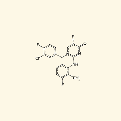 Cc1c(F)cccc1Nc1nc(=O)c(F)cn1Cc1ccc(F)c(Cl)c1